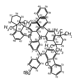 CC(C)(C)c1ccc(N(c2ccc3c(c2)N(c2cc4c(cc2-c2ccccc2)C(C)(C)CCC4(C)C)c2cc(-c4ccccc4)cc4c2B3c2cccc3c2C4C2(C)CCCCC32C)c2cccc3c2oc2ccccc23)cc1